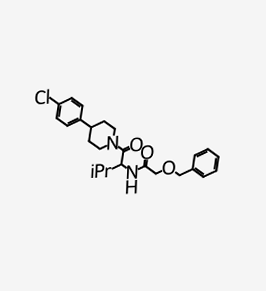 CC(C)C(NC(=O)COCc1ccccc1)C(=O)N1CCC(c2ccc(Cl)cc2)CC1